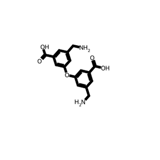 NCc1cc(Oc2cc(CN)cc(C(=O)O)c2)cc(C(=O)O)c1